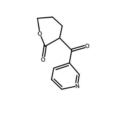 O=C1OCCCC1C(=O)c1cccnc1